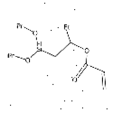 C=CC(=O)OC(CC)C[SiH](OC(C)C)OC(C)C